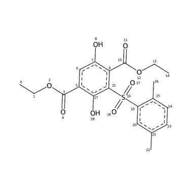 CCOC(=O)c1cc(O)c(C(=O)OCC)c(S(=O)(=O)c2cc(C)ccc2C)c1O